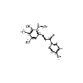 CC(C)Oc1c(C=CC(=O)c2ccc(O)cc2)cc(C(C)(C)C)c(O)c1C(C)(C)C